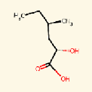 CC[C@@H](C)C[C@H](O)C(=O)O